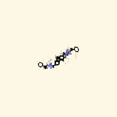 CCCCC1(CCCC)c2cc(C(=O)/C(C)=N/OC(=O)C3CCCCC3)ccc2-c2c([N+](=O)[O-])cc(C(=O)/C(C)=N/OC(=O)C3CCCCC3)cc21